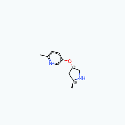 Cc1ccc(O[C@@H]2CN[C@@H](C)C2)cn1